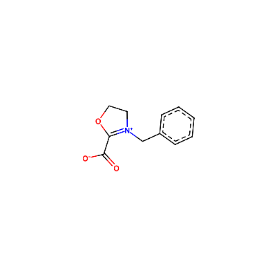 O=C([O-])C1=[N+](Cc2ccccc2)CCO1